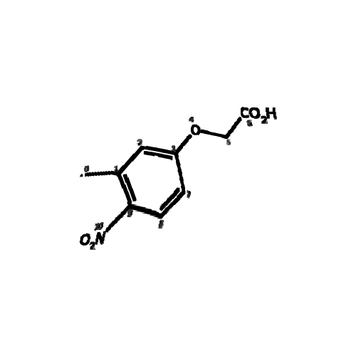 [CH2]c1cc(OCC(=O)O)ccc1[N+](=O)[O-]